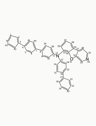 c1ccc(-c2ccc(-c3ccc(N(c4ccc(-c5ccccc5)cc4)c4cccc5c4oc4cnccc45)cc3)cc2)cc1